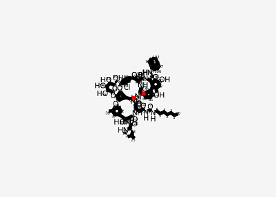 CCCCCCCNC(=O)NC(=O)C[C@@H]1NC(=O)[C@H](NC(=O)[C@@H](CC(C)C)NC)[C@H](O)c2ccc(c(C)c2)Oc2cc3cc(c2O[C@@H]2O[C@H](CO)[C@@H](O)[C@H](O)[C@H]2O)Oc2ccc(cc2Cl)[C@@H](O)[C@@H]2NC(=O)[C@H](NC(=O)[C@@H]3NC1=O)c1ccc(O)c(c1)-c1c(C)cc(O)cc1[C@@H](C(=O)NC1C3CC4CC(C3)CC1C4)NC2=O